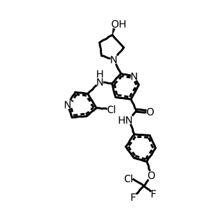 O=C(Nc1ccc(OC(F)(F)Cl)cc1)c1cnc(N2CC[C@@H](O)C2)c(Nc2cnccc2Cl)c1